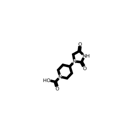 O=C1CN(C2CCN(C(=O)O)CC2)C(=O)N1